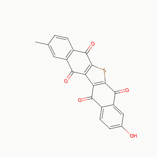 Cc1ccc2c(=O)c3sc4c(=O)c5cc(O)ccc5c(=O)c4c3c(=O)c2c1